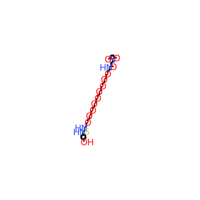 O=C(CCN1C(=O)C=CC1=O)NCCOCCOCCOCCOCCOCCOCCOCCOCCOCCNC(=S)Nc1ccc(O)cc1